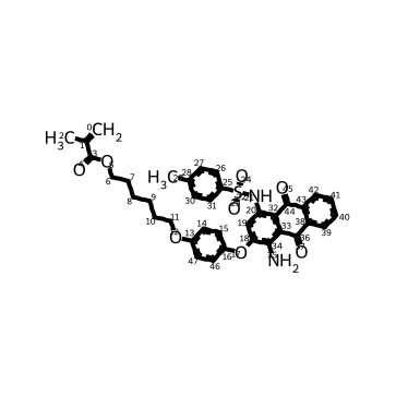 C=C(C)C(=O)OCCCCCCOc1ccc(Oc2cc(NS(=O)(=O)c3ccc(C)cc3)c3c(c2N)C(=O)c2ccccc2C3=O)cc1